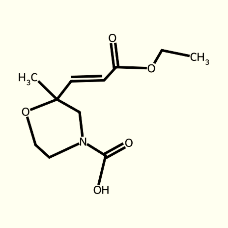 CCOC(=O)C=CC1(C)CN(C(=O)O)CCO1